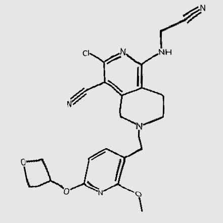 COc1nc(OC2COC2)ccc1CN1CCc2c(NCC#N)nc(Cl)c(C#N)c2C1